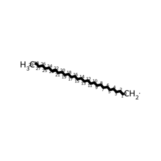 [CH2]CCCCCCCCCCCCCCCCCCCCCC=CCCCCCC